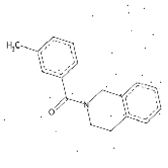 Cc1cccc(C(=O)N2CCc3cc[c]cc3C2)c1